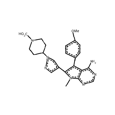 COc1ccc(-c2c(-c3cnn(C4CCN(C(=O)O)CC4)c3)n(C)c3ncnc(N)c23)cc1